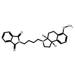 COc1cccc2c1CC[C@@H]1[C@H]2CCN1CCCCN1C(=O)c2ccccc2C1=O